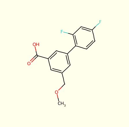 COCc1cc(C(=O)O)cc(-c2ccc(F)cc2F)c1